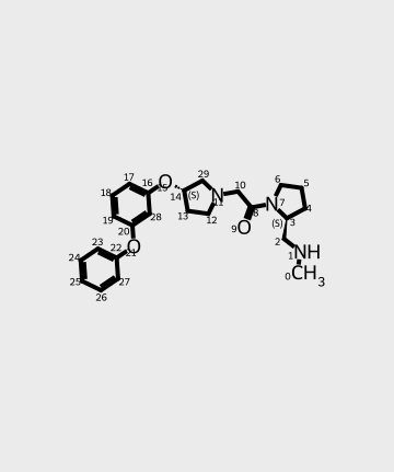 CNC[C@@H]1CCCN1C(=O)CN1CC[C@H](Oc2cccc(Oc3ccccc3)c2)C1